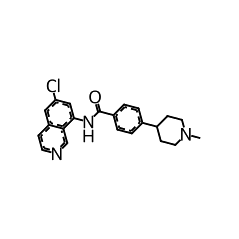 CN1CCC(c2ccc(C(=O)Nc3cc(Cl)cc4ccncc34)cc2)CC1